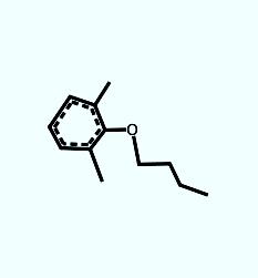 CCCCOc1c(C)cccc1C